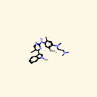 CC(=O)n1cc(-c2nc(Nc3cc([N+](=O)[O-])c(N(C)CCN(C)C)cc3C)ncc2C)c2ccccc21